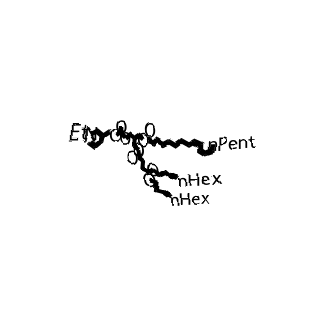 CCCCC/C=C\C/C=C\CCCCCCCC(=O)OCC(COC(=O)CCC(OCCC#CCCCCCC)OCCC#CCCCCCC)COC(=O)OCC1CCCN(CC)C1